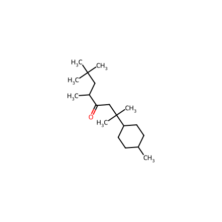 CC1CCC(C(C)(C)CC(=O)C(C)CC(C)(C)C)CC1